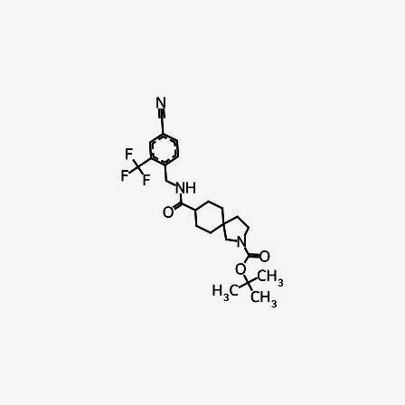 CC(C)(C)OC(=O)N1CCC2(CCC(C(=O)NCc3ccc(C#N)cc3C(F)(F)F)CC2)C1